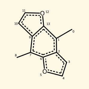 Cc1c2ccoc2c(C)c2ccoc12